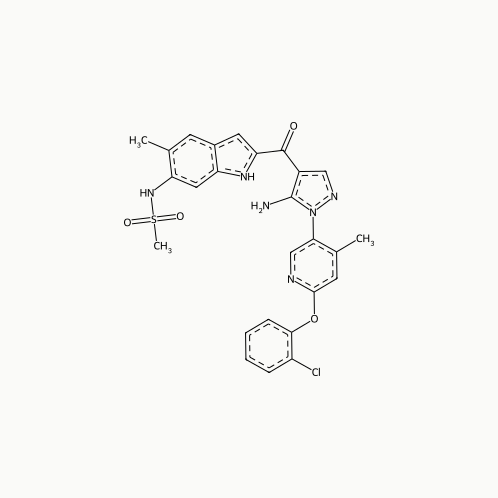 Cc1cc2cc(C(=O)c3cnn(-c4cnc(Oc5ccccc5Cl)cc4C)c3N)[nH]c2cc1NS(C)(=O)=O